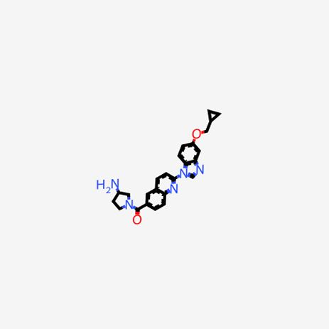 NC1CCN(C(=O)c2ccc3nc(-n4cnc5cc(OCC6CC6)ccc54)ccc3c2)C1